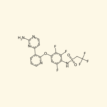 Nc1nccc(-c2cccnc2Oc2cc(F)c(NS(=O)(=O)CC(F)(F)F)c(F)c2F)n1